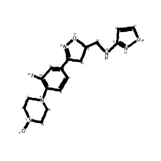 [O-][S+]1CCN(c2ccc(C3=NOC(CNc4ccon4)C3)cc2F)CC1